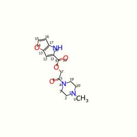 CN1CCN(C(=O)COC(=O)c2cc3occc3[nH]2)CC1